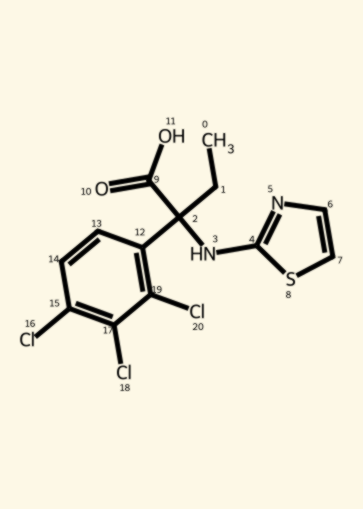 CCC(Nc1nccs1)(C(=O)O)c1ccc(Cl)c(Cl)c1Cl